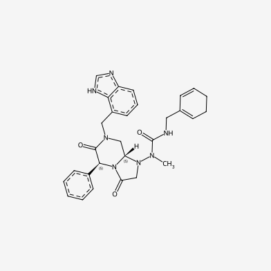 CN(C(=O)NCC1=CCCC=C1)N1CC(=O)N2[C@@H](c3ccccc3)C(=O)N(Cc3cccc4nc[nH]c34)C[C@@H]21